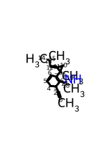 CC#CC1CC=CC(C2(C)C/C2=C\C(C)C)=C1C(C)=N